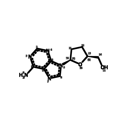 Nc1ncnc2c1ncn2[C@H]1CC[C@@H](CO)O1